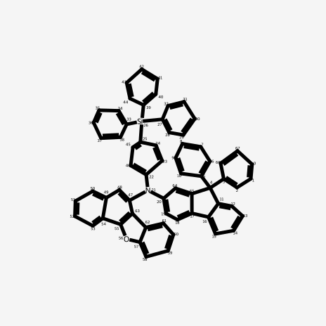 c1ccc(C2(c3ccccc3)c3ccccc3-c3ccc(N(c4ccc([Si](c5ccccc5)(c5ccccc5)c5ccccc5)cc4)c4cc5ccccc5c5oc6ccccc6c45)cc32)cc1